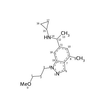 COCCCn1ncc2c(C)cc(C(C)NC3CC3)cc21